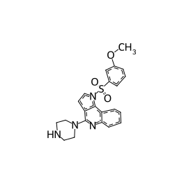 COc1cccc(S(=O)(=O)n2ccc3c(N4CCNCC4)nc4ccccc4c32)c1